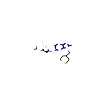 Cc1nc2ncc(Nc3cc(OC(F)F)[nH]n3)nc2n1CC1CCOCC1